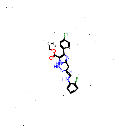 CCOC(=O)c1[nH]c(C/C(=C/Nc2ccccc2F)N=N)nc1-c1ccc(Cl)cc1